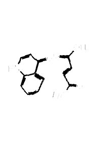 O=C(O)/C=C/C(=O)O.O=c1cc[nH]c2ccccc12